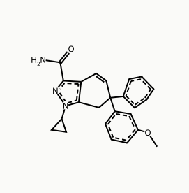 COc1cccc(C2(c3ccccc3)C=Cc3c(C(N)=O)nn(C4CC4)c3C2)c1